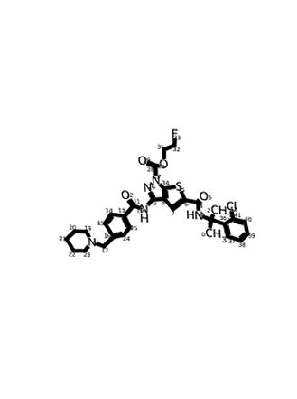 CC(C)(NC(=O)c1cc2c(NC(=O)c3ccc(CN4CCCCC4)cc3)nn(C(=O)OCCF)c2s1)c1ccccc1Cl